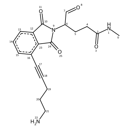 CNC(=O)CCC(C=O)N1C(=O)c2cccc(C#CCCCN)c2C1=O